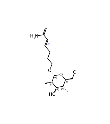 C=C(N)/C=C/CCCO[C@@H]1O[C@@H](CO)[C@H](C)[C@@H](O)[C@H]1C